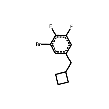 Fc1cc(CC2CCC2)cc(Br)c1F